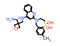 Cc1ccc2c(c1)S(O)(O)CCN(c1cc(NCC3(CN)COC3)c3ccccc3n1)C2